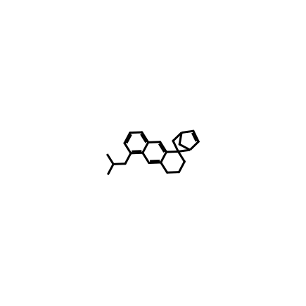 CC(C)Cc1cccc2cc3c(cc12)CCCC31CC2C=CC1C2